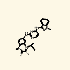 CC(C)N1c2cc(Nc3nccc(Nc4nn(C)c5ccccc45)n3)ccc2N(C)C(=O)[C@H]1C